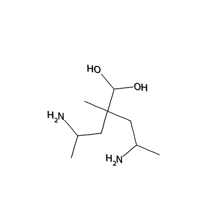 CC(N)CC(C)(CC(C)N)C(O)O